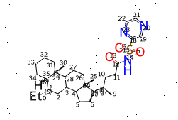 CC[C@H]1CC2C3CC[C@H]([C@H](C)CCC(=O)NS(=O)(=O)c4cnccn4)[C@@]3(C)CCC2[C@@]2(C)CCCC[C@@H]12